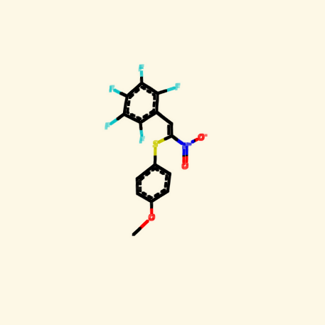 COc1ccc(SC(=Cc2c(F)c(F)c(F)c(F)c2F)[N+](=O)[O-])cc1